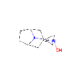 ON=C1CC2CCC(C1)N2C1CC1